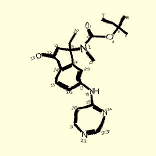 CN(C(=O)OC(C)(C)C)C1(C)CC(=O)c2ccc(Nc3ccncn3)cc21